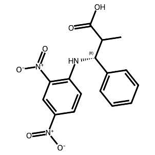 CC(C(=O)O)[C@@H](Nc1ccc([N+](=O)[O-])cc1[N+](=O)[O-])c1ccccc1